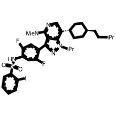 CNc1ncc([C@H]2CC[C@H](CCC(C)C)CC2)c2c1c(-c1cc(F)c(NS(=O)(=O)c3ccccc3I)cc1F)nn2C(C)C